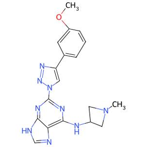 COc1cccc(-c2cn(-c3nc(NC4CN(C)C4)c4nc[nH]c4n3)nn2)c1